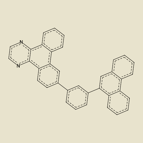 c1cc(-c2ccc3c(c2)c2ccccc2c2nccnc32)cc(-c2cc3ccccc3c3ccccc23)c1